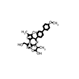 COc1ccc(-c2ccc(C3=N[C@@H](C(C)C(=O)O)c4nnc(CO)n4-c4sc(C)c(C)c43)cc2)cc1